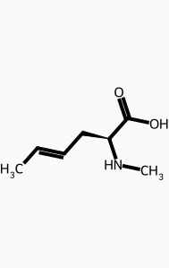 CC=CC[C@H](NC)C(=O)O